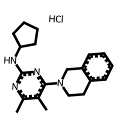 Cc1nc(NC2CCCC2)nc(N2CCc3ccccc3C2)c1C.Cl